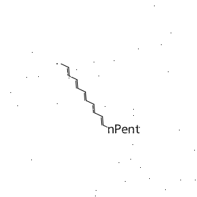 [CH2]C=CC=CC=CC=CC=CCCCCC